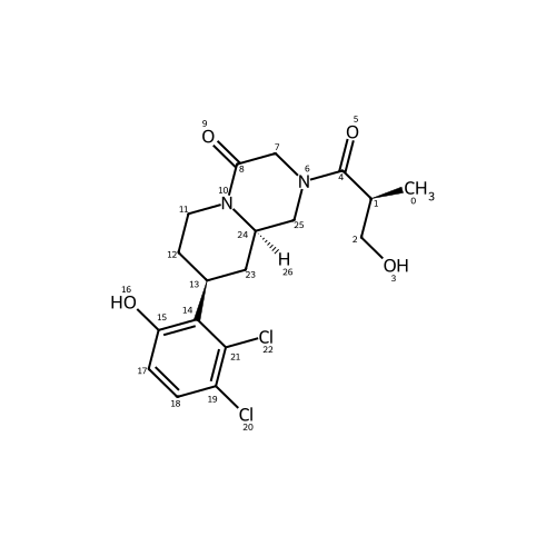 C[C@@H](CO)C(=O)N1CC(=O)N2CC[C@H](c3c(O)ccc(Cl)c3Cl)C[C@@H]2C1